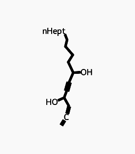 C=C=CC(O)C#CC(O)CCCCCCCCCCC